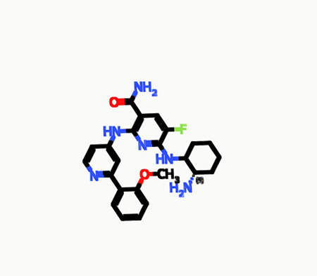 COc1ccccc1-c1cc(Nc2nc(NC3CCCC[C@@H]3N)c(F)cc2C(N)=O)ccn1